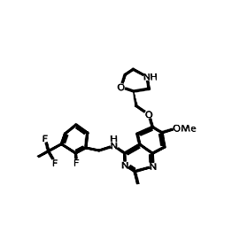 COc1cc2nc(C)nc(NCc3cccc(C(C)(F)F)c3F)c2cc1OC[C@@H]1CNCCO1